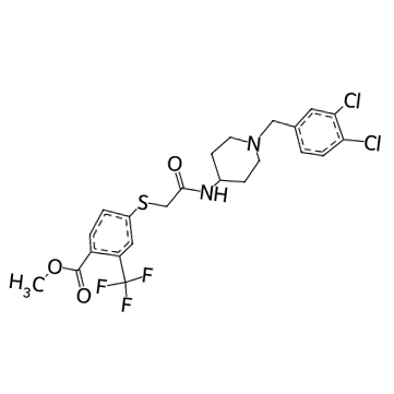 COC(=O)c1ccc(SCC(=O)NC2CCN(Cc3ccc(Cl)c(Cl)c3)CC2)cc1C(F)(F)F